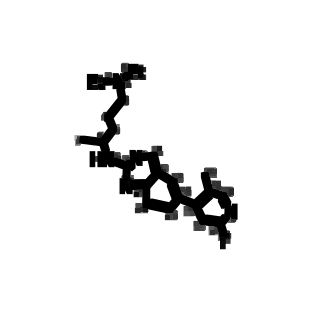 CCN(CC)CCCC(C)Nc1ncc2cc(-c3cc(F)ncc3C)ccc2n1